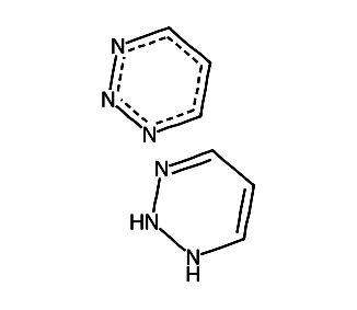 C1=CNNN=C1.c1cnnnc1